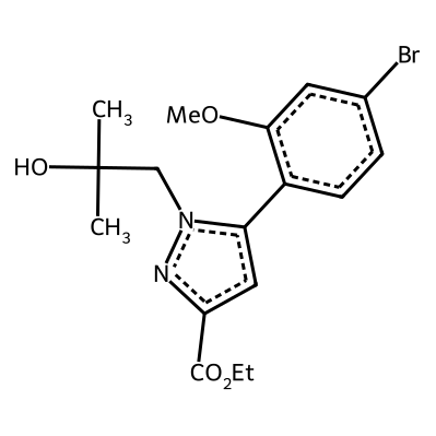 CCOC(=O)c1cc(-c2ccc(Br)cc2OC)n(CC(C)(C)O)n1